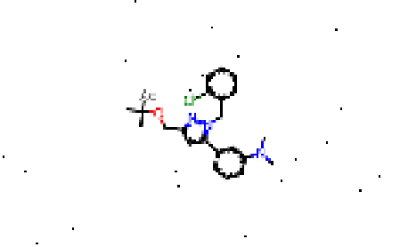 CC(=O)C(C)(C)OCc1cc(-c2cccc(N(C)C)c2)n(Cc2ccccc2Cl)n1